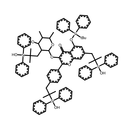 CC1OC(Oc2c(-c3ccc(CC(C)(C)[Si](O)(c4ccccc4)c4ccccc4)cc3)oc3cc(CC(C)(C)[Si](O)(c4ccccc4)c4ccccc4)cc(O[Si](c4ccccc4)(c4ccccc4)C(C)(C)C)c3c2=O)C(CC(C)(C)[Si](O)(c2ccccc2)c2ccccc2)C(O)C1C